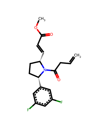 C=CCC(=O)N1[C@@H](/C=C/C(=O)OC)CC[C@H]1c1cc(F)cc(F)c1